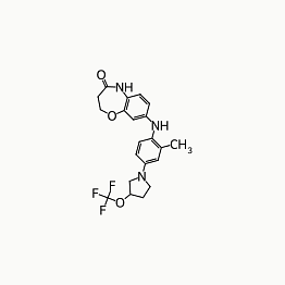 Cc1cc(N2CCC(OC(F)(F)F)C2)ccc1Nc1ccc2c(c1)OCCC(=O)N2